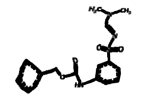 CN(C)C=NS(=O)(=O)c1cccc(NC(=O)OCc2ccccc2)c1